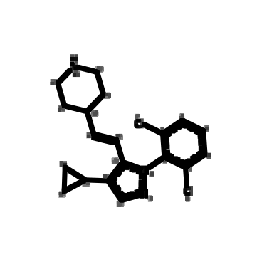 Clc1cccc(Cl)c1-n1ncc(C2CC2)c1C=CC1CCNCC1